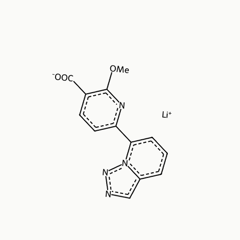 COc1nc(-c2cccc3cnnn23)ccc1C(=O)[O-].[Li+]